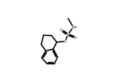 CNS(=O)(=O)OC1CCCc2ccccc21